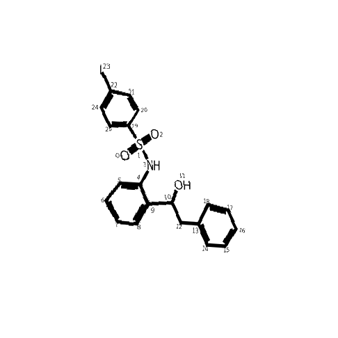 O=S(=O)(Nc1ccccc1C(O)Cc1ccccc1)c1ccc(I)cc1